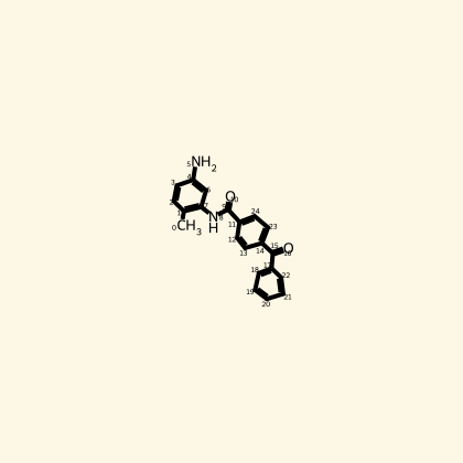 Cc1ccc(N)cc1NC(=O)c1ccc(C(=O)c2ccccc2)cc1